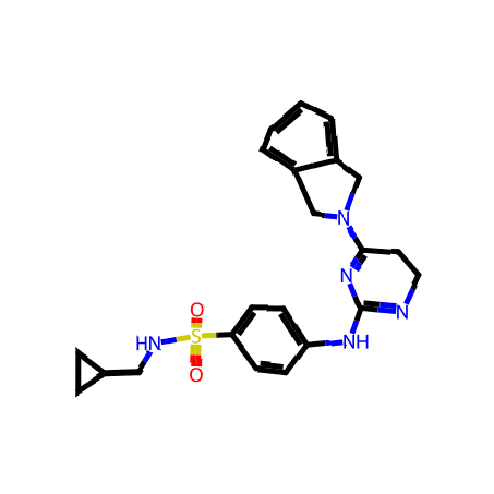 O=S(=O)(NCC1CC1)c1ccc(NC2=NCCC(N3Cc4ccccc4C3)=N2)cc1